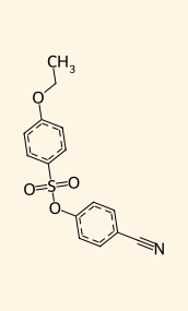 CCOc1ccc(S(=O)(=O)Oc2ccc(C#N)cc2)cc1